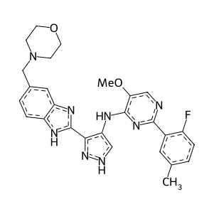 COc1cnc(-c2cc(C)ccc2F)nc1Nc1c[nH]nc1-c1nc2cc(CN3CCOCC3)ccc2[nH]1